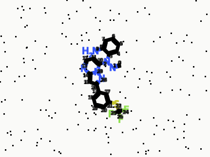 C=NN(c1ccccc1N)c1ccnc2cc(-c3cccc(SC(F)(F)F)c3)nn12